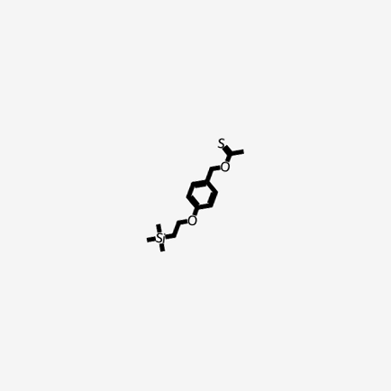 CC(=S)OCc1ccc(OCC[Si](C)(C)C)cc1